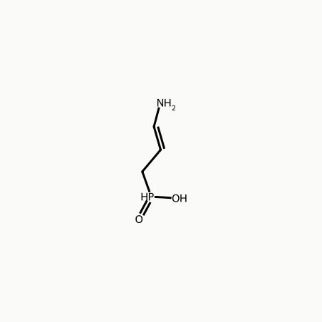 NC=CC[PH](=O)O